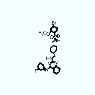 O=S(=O)(NC[C@H]1CC[C@H](CNc2nc(Nc3cccc(F)c3)c3ccccc3n2)CC1)c1ccc(Br)cc1OC(F)(F)F